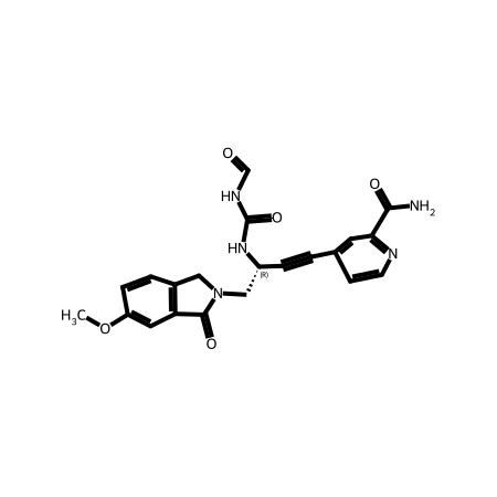 COc1ccc2c(c1)C(=O)N(C[C@@H](C#Cc1ccnc(C(N)=O)c1)NC(=O)NC=O)C2